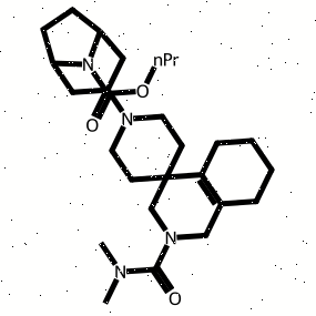 CCCOC(=O)N1C2CCC1CC(N1CCC3(CC1)CN(C(=O)N(C)C)CC1=C3CCCC1)C2